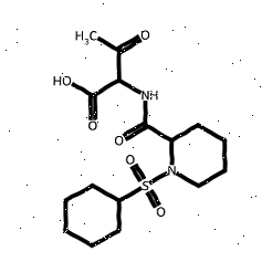 CC(=O)C(NC(=O)C1CCCCN1S(=O)(=O)C1CCCCC1)C(=O)O